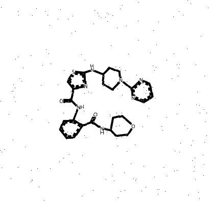 O=C(Nc1ccccc1C(=O)NC1CCOCC1)c1csc(NC2CCN(c3ncccn3)CC2)n1